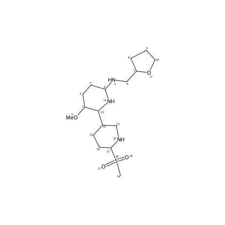 COC1CCC(NCC2CCCO2)NC1C1CCC(S(C)(=O)=O)NC1